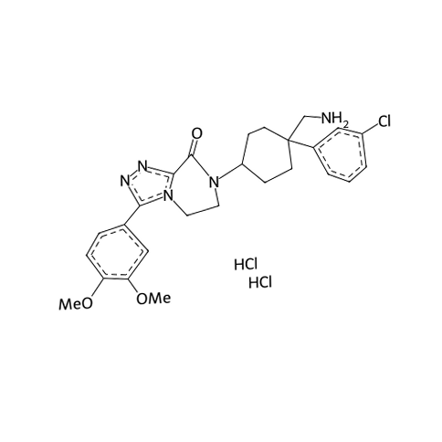 COc1ccc(-c2nnc3n2CCN(C2CCC(CN)(c4cccc(Cl)c4)CC2)C3=O)cc1OC.Cl.Cl